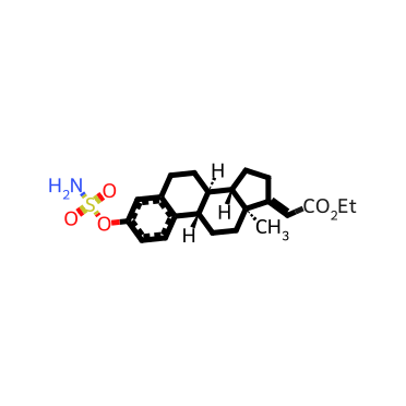 CCOC(=O)C=C1CC[C@H]2[C@@H]3CCc4cc(OS(N)(=O)=O)ccc4[C@H]3CC[C@]12C